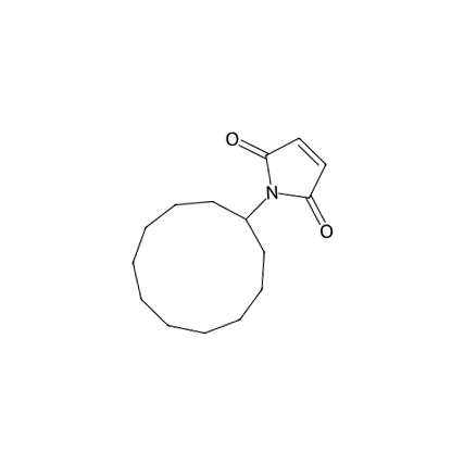 O=C1C=CC(=O)N1C1CCCCCCCCCC1